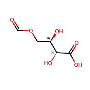 O=COC[C@@H](O)[C@@H](O)C(=O)O